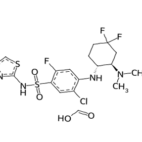 CN(C)[C@@H]1CC(F)(F)CC[C@H]1Nc1cc(F)c(S(=O)(=O)Nc2nccs2)cc1Cl.O=CO